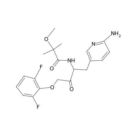 COC(C)(C)C(=O)NC(Cc1ccc(N)nc1)C(=O)COc1c(F)cccc1F